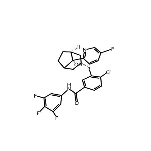 O=C(Nc1cc(F)c(F)c(F)c1)c1ccc(Cl)c(S[C@@H]2CC3CC[C@@H](C2)[C@@]3(O)c2ccc(F)cn2)c1